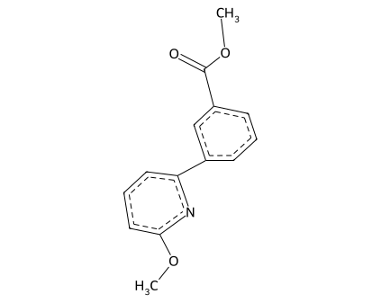 COC(=O)c1cccc(-c2cccc(OC)n2)c1